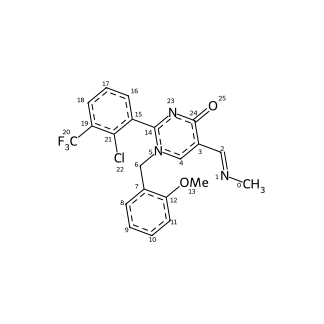 C/N=C/c1cn(Cc2ccccc2OC)c(-c2cccc(C(F)(F)F)c2Cl)nc1=O